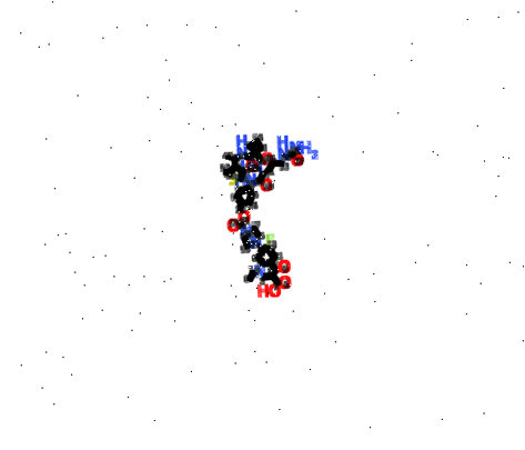 CCn1cc(C(=O)O)c(=O)c2cc(F)c(N3CCN(C(=O)OCc4ccc(NC(=O)[C@H](CCCNC(N)=O)NC(=O)C5(C(=O)N[C@H](C)C6C=CSC6C)CCC5)cc4)CC3)cc21